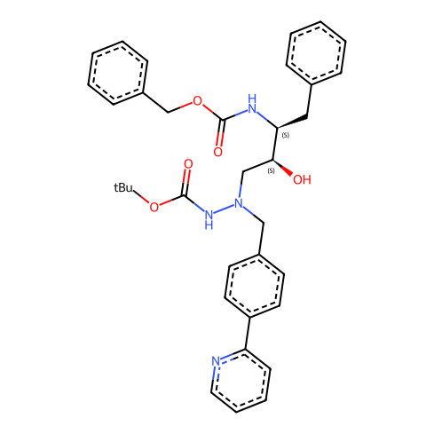 CC(C)(C)OC(=O)NN(Cc1ccc(-c2ccccn2)cc1)C[C@H](O)[C@H](Cc1ccccc1)NC(=O)OCc1ccccc1